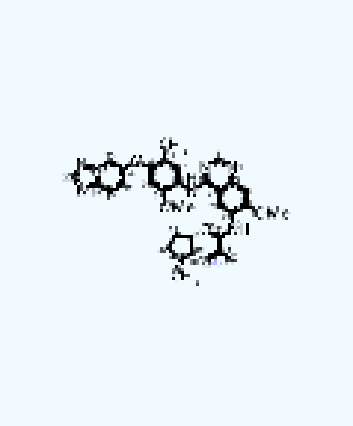 COc1cc2ncnc(Nc3cc(C)c(Oc4ccc5ncnn5c4)cc3OC)c2cc1NC(=O)/C(F)=C\[C@H]1CCCN1C